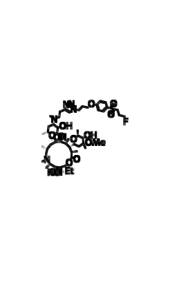 CC[C@H]1OC(=O)[C@H](C)[C@@H](C2C[C@@](C)(OC)[C@@H](O)[C@H](C)O2)[C@H](C)[C@@H](O[C@@H]2O[C@H](C)C[C@H](N(C)CCc3cn(CCCOc4ccc(S(=O)(=O)CCCF)cc4)nn3)[C@H]2O)[C@](C)(O)C[C@@H](C)CN(C)[C@H](C)[C@@H](O)[C@]1(C)O